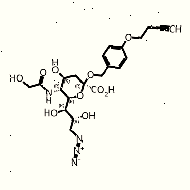 C#CCCOc1ccc(CO[C@]2(C(=O)O)C[C@H](O)[C@@H](NC(=O)CO)[C@H]([C@H](O)[C@H](O)CN=[N+]=[N-])O2)cc1